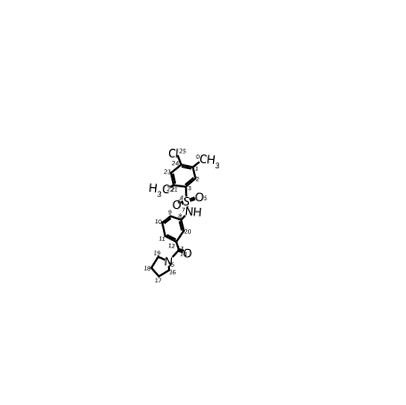 Cc1cc(S(=O)(=O)Nc2cccc(C(=O)N3CCCC3)c2)c(C)cc1Cl